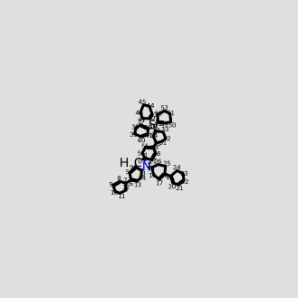 CC1(N(C2C=CC(C3C=CCCC3)=CC2)C2CC=C(C3=CC=CCC3)CC2)C=CC(C2CCCC([Si](C3=CCCC=C3)(C3=CCCCC3)C3=CCCCC3)C2)=CC1